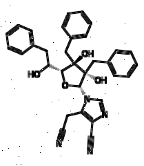 N#CCc1c(C#N)ncn1[C@@H]1O[C@H](C(O)Cc2ccccc2)[C@](O)(Cc2ccccc2)[C@@]1(O)Cc1ccccc1